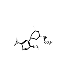 C[C@@H]1C[C@H](NC(=O)O)CN(c2cc(N(C)C)ncc2[N+](=O)[O-])C1